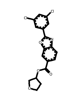 O=C(OC1CCOC1)c1ccc2nc(-c3cc(Cl)cc(Cl)c3)oc2c1